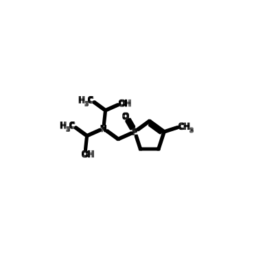 CC1=CP(=O)(CN(C(C)O)C(C)O)CC1